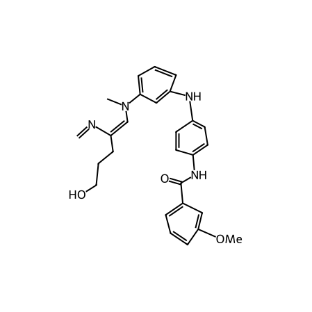 C=N/C(=C\N(C)c1cccc(Nc2ccc(NC(=O)c3cccc(OC)c3)cc2)c1)CCCO